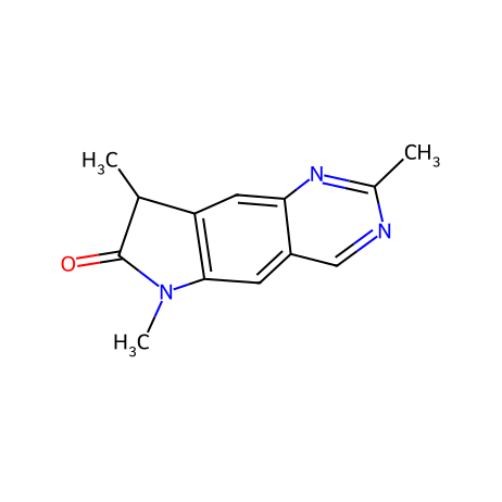 Cc1ncc2cc3c(cc2n1)C(C)C(=O)N3C